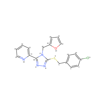 Clc1ccc(CSc2nnc(-c3ccccn3)n2Cc2ccco2)cc1